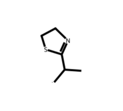 [CH2]C(C)C1=NCCS1